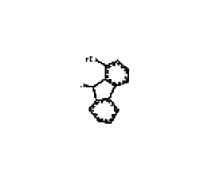 CCCCc1cccc2c1C([O])c1ccccc1-2